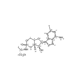 CCOC(=O)[C@H](C)NP1(=O)OCC2O[C@@H](n3cnc4c(N)nc(C)nc43)[C@@H](O)[C@@H]2O1